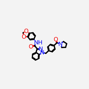 O=C(Nc1ccc2c(c1)OCO2)c1nn(Cc2ccc(C(=O)N3CCCC3)cc2)c2ccccc12